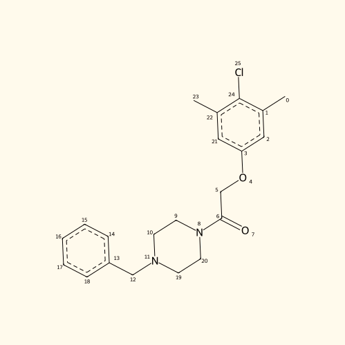 Cc1cc(OCC(=O)N2CCN(Cc3ccccc3)CC2)cc(C)c1Cl